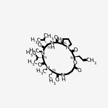 C=CC[C@H]1OC(=O)CCNC(=O)[C@H](C)N(C)C(=O)[C@H](C(C)C)N(C)C(=O)[C@H](C(C)C)NC(=O)[C@@H]2CCCN2C1=O